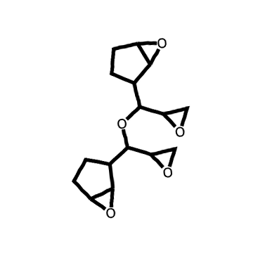 C1CC(C(OC(C2CO2)C2CCC3OC32)C2CO2)C2OC12